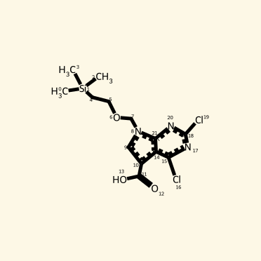 C[Si](C)(C)CCOCn1cc(C(=O)O)c2c(Cl)nc(Cl)nc21